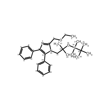 CCOCc1nc(-c2ccccc2)c(-c2ccccc2)n1CC(C)(C)O[Si](C)(C)C(C)(C)C